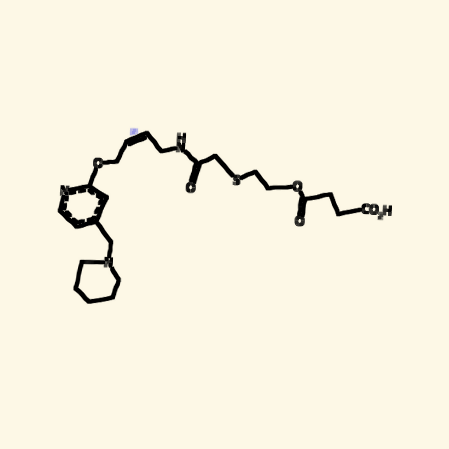 O=C(O)CCC(=O)OCCSCC(=O)NC/C=C\COc1cc(CN2CCCCC2)ccn1